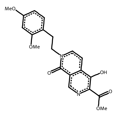 COC(=O)c1ncc2c(=O)n(CCc3ccc(OC)cc3OC)ccc2c1O